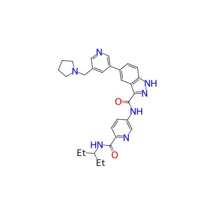 CCC(CC)NC(=O)c1ccc(NC(=O)c2n[nH]c3ccc(-c4cncc(CN5CCCC5)c4)cc23)cn1